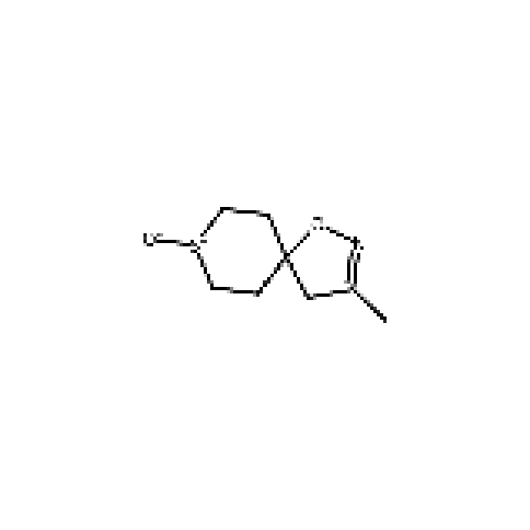 CC1=NOC2(CC[S+]([O-])CC2)C1